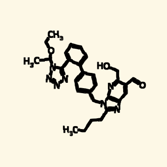 CCCCc1nc2cc(C=O)c(CO)nc2n1Cc1ccc(-c2ccccc2-c2nnnn2C(C)OCC)cc1